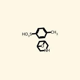 C1NCC2CC1O2.Cc1ccc(S(=O)(=O)O)cc1